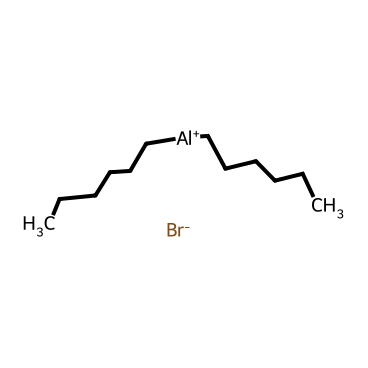 CCCCC[CH2][Al+][CH2]CCCCC.[Br-]